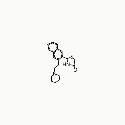 O=C1CSC(c2cc3ccccc3cc2CCN2CCCCC2)N1